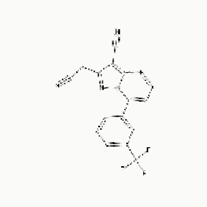 N#CCc1nn2c(-c3cccc(C(F)(F)F)c3)ccnc2c1C#N